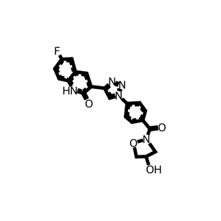 O=C(c1ccc(-n2cc(-c3cc4cc(F)ccc4[nH]c3=O)nn2)cc1)N1CC(O)CO1